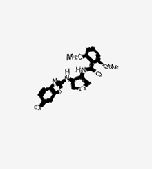 COc1cccc(OC)c1C(=O)NC1COCC1Nc1nc2ccc(Cl)cc2s1